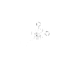 CC[C@H](C)C(OCc1ccccc1)C1C([N+](=O)[O-])C(c2ccccc2)NC1(C)C(=O)NCCCC(=O)O